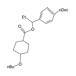 CCCCCCCCCCc1ccc(C(CC)OC(=O)C2CCC(OCCCC)CC2)cc1